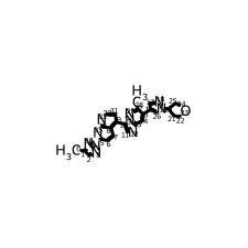 Cc1cnn(-c2ccc3c(-c4cnc5cc(-c6cnn(C7CCOCC7)c6)c(C)nn45)ccnc3n2)n1